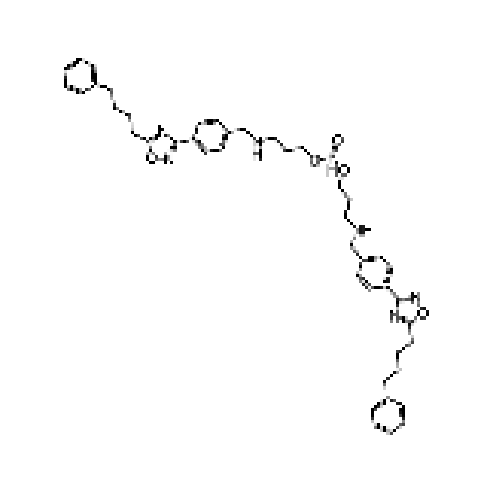 O=[PH](OCCCNCc1ccc(-c2noc(CCCCc3ccccc3)n2)cc1)OCCCNCc1ccc(-c2noc(CCCCc3ccccc3)n2)cc1